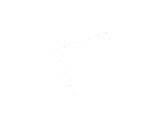 O=[N+]([O-])[O-].O=[N+]([O-])[O-].O=[N+]([O-])[O-].O=[N+]([O-])[O-].O=[N+]([O-])[O-].O=[N+]([O-])[O-].O=[N+]([O-])[O-].O=[N+]([O-])[O-].[Cu+2].[Zn+2].[Zr+4]